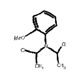 COc1ccccc1N(C(C)Cl)C(C)Cl